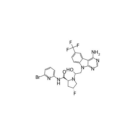 Nc1ncnc2c1c1cc(C(F)(F)F)ccc1n2CC(O)N1C[C@H](F)C[C@H]1C(=O)Nc1cccc(Br)n1